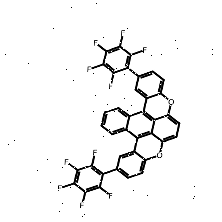 Fc1c(F)c(F)c(-c2ccc3c(c2)-c2c4ccccc4c4c5c(ccc(c25)O3)Oc2ccc(-c3c(F)c(F)c(F)c(F)c3F)cc2-4)c(F)c1F